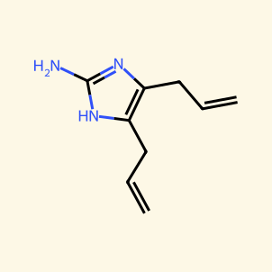 C=CCc1nc(N)[nH]c1CC=C